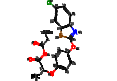 CSCC(=O)OC(=O)C(C)Oc1ccc(Oc2nc3ccc(Cl)cc3s2)cc1